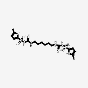 Cc1ccc(S(=O)(=O)NC(=O)NCCCCCCNC(=O)NS(=O)(=O)c2ccc(C)s2)s1